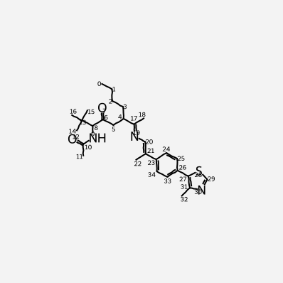 CCCCC(CC(=O)C(NC(C)=O)C(C)(C)C)/C(C)=N/C=C(\C)c1ccc(-c2scnc2C)cc1